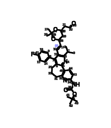 CC(C)c1nc2c(c(-c3ccc(F)cc3)c1/C=C/[C@@H]1C[C@H](CC=O)OC(C)(C)O1)CCCc1nc(NC(=O)OC(C)(C)C)ccc1-2